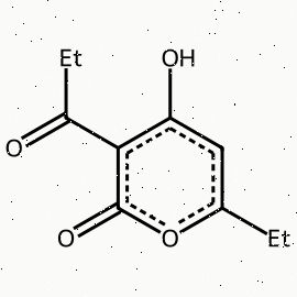 CCC(=O)c1c(O)cc(CC)oc1=O